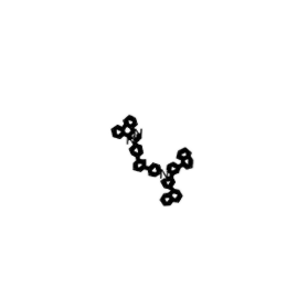 c1cc(-c2ccc(-c3cnc4c5ccccc5c5ccccc5c4n3)cc2)cc(-c2ccc(-n3c4ccc(-c5cccc6ccccc56)cc4c4cc(-c5cccc6ccccc56)ccc43)cc2)c1